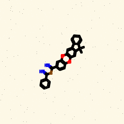 CC1(C)c2ccccc2-c2cc3c(cc21)Oc1ccc(C(=N)SC(=N)c2ccccc2)cc1O3